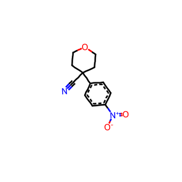 N#CC1(c2ccc([N+](=O)[O-])cc2)CCOCC1